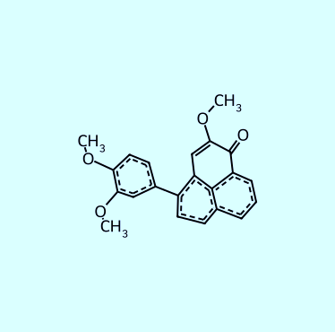 COC1=Cc2c(-c3ccc(OC)c(OC)c3)ccc3cccc(c23)C1=O